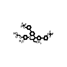 CCC(COc1ccc(OCC(=O)O)c(C)c1)=C(c1ccc(-c2cccc(OC(F)(F)F)c2)cc1)c1ccc(-c2cccc(OC(F)(F)F)c2)cc1